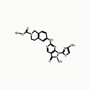 CCCn1c(=O)c2cnc(Nc3ccc4c(c3)CCN(C(=O)OC(C)(C)C)C4)nc2n1-c1nc(C(C)(C)C)cs1